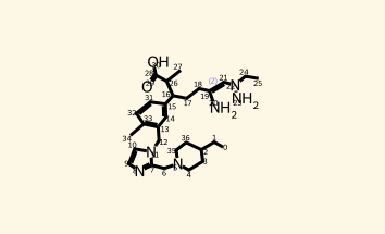 CCC1CCN(Cc2nccn2Cc2cc(C(CC/C(N)=C/N(N)CC)C(C)C(=O)O)ccc2C)CC1